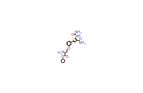 NC(=O)Nc1sc(-c2cccc(OCC[C@H](N)C(=O)OC3CCCC3)c2)cc1C(N)=O